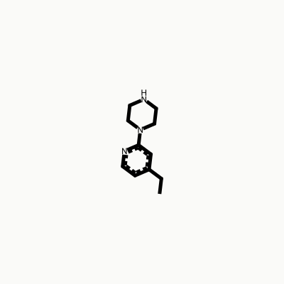 CCc1ccnc(N2CCNCC2)c1